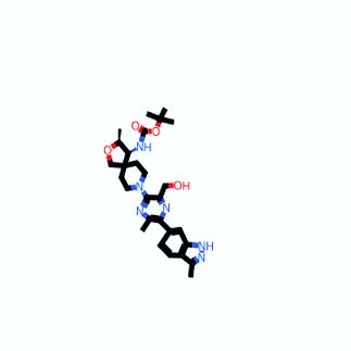 Cc1nc(N2CCC3(CC2)CO[C@@H](C)[C@H]3NC(=O)OC(C)(C)C)c(CO)nc1-c1ccc2c(C)n[nH]c2c1